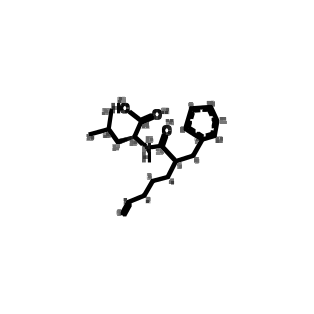 C=CCCCC(Cc1ccccc1)C(=O)N[C@@H](CC(C)C)C(=O)O